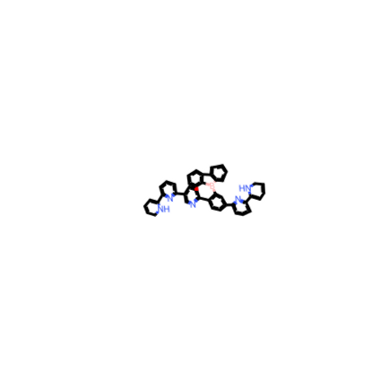 C1=CCNC(c2cccc(-c3ccc(-c4ccc(-c5cccc(C6=CC=CCN6)n5)cc4B4c5ccccc5-c5ccccc54)nc3)n2)=C1